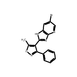 Cc1onc(-c2ccccc2)c1-c1nc2ncc(Br)cc2[nH]1